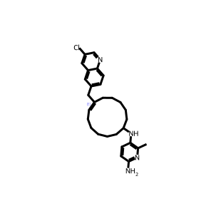 Cc1nc(N)ccc1NC1CCCCC/C=C(/Cc2ccc3ncc(Cl)cc3c2)CCCCC1